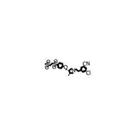 C[C@@H]1CN(CCc2cc(Cl)cc(C#N)c2)C[C@H]1COc1ccc(S(=O)(=O)CCS(C)(=O)=O)cc1